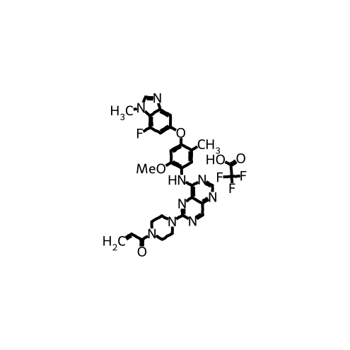 C=CC(=O)N1CCN(c2ncc3ncnc(Nc4cc(C)c(Oc5cc(F)c6c(c5)ncn6C)cc4OC)c3n2)CC1.O=C(O)C(F)(F)F